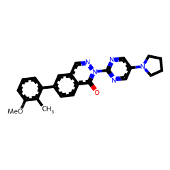 COc1cccc(-c2ccc3c(=O)n(-c4ncc(N5CCCC5)cn4)ncc3c2)c1C